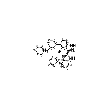 Fc1c(-c2cncc(CN3CCCCC3)c2)ccc2[nH]nc(-c3nc4c(-c5ccccn5)nccc4[nH]3)c12